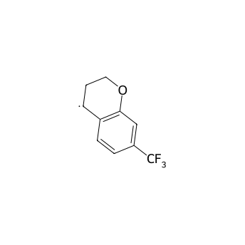 FC(F)(F)c1ccc2c(c1)OCC[CH]2